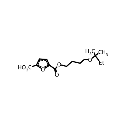 CCC(C)(C)OCCCCOC(=O)c1ccc(C(=O)O)o1